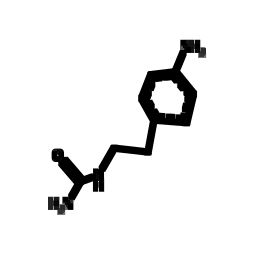 NC(=O)NCCc1ccc(N)cc1